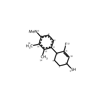 CNc1ccc(C2CCC(S)C=C2F)c(C)c1C